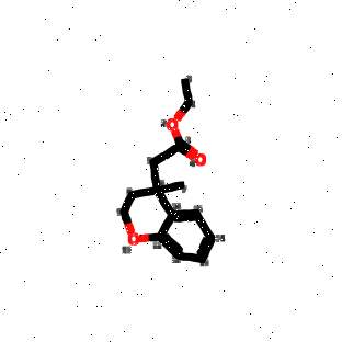 CCOC(=O)CC1(C)CCOc2ccccc21